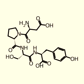 N[C@@H](CC(=O)O)C(=O)N1CCC[C@H]1C(=O)N[C@@H](CO)C(=O)N[C@@H](Cc1ccc(O)cc1)C(=O)O